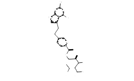 Nc1nc(O)c2c(CCc3ccc(C(=O)N[C@@H](CCC(=O)O)C(=O)C(C[C@H](N)C(=O)O)C(=O)O)nc3)c[nH]c2n1